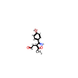 Cc1onc(-c2ccc(Br)cc2)c1CC=O